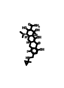 CN(C)[C@@H]1C(O)=C(C(N)=O)C2(O)O[C@@]23C(O)=C2C(=O)c4c(O)cc(CNC5(C)CC5)c(F)c4C[C@H]2C[C@@H]13